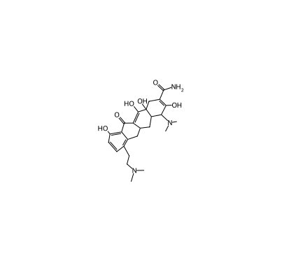 CN(C)CCc1ccc(O)c2c1CC1CC3C(N(C)C)C(O)=C(C(N)=O)CC3(O)C(O)=C1C2=O